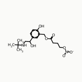 CC(C)(C)NCC(O)c1ccc(O)c(COC(=O)CCCO[N+](=O)[O-])c1